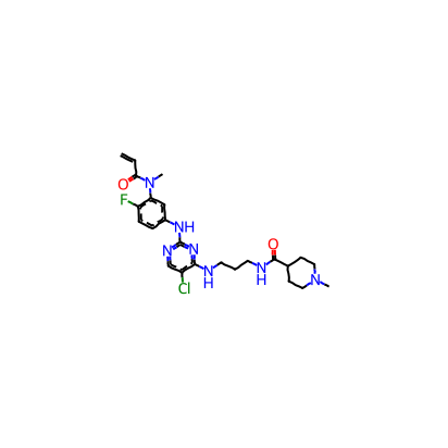 C=CC(=O)N(C)c1cc(Nc2ncc(Cl)c(NCCCNC(=O)C3CCN(C)CC3)n2)ccc1F